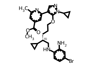 COC(=O)c1cc(C)nc(-c2cnn(C3CC3)c2OCCC[C@H](CNc2ccc(Br)cc2N)C2CC2)c1